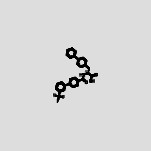 O=C(N[C@@H](Cc1ccc(-c2ccccc2)cc1)C(=O)O)c1ccc(-c2cccc(C(F)(F)F)c2)cc1